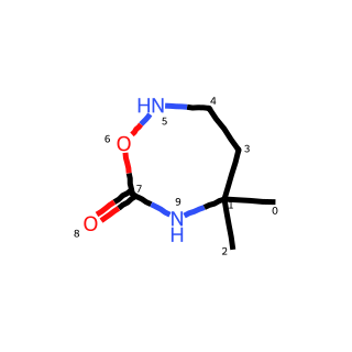 CC1(C)CCNOC(=O)N1